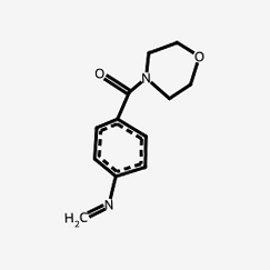 C=Nc1ccc(C(=O)N2CCOCC2)cc1